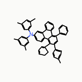 Cc1ccc(-c2cc(-c3ccccc3)c3c4ccccc4c4cc(N(c5cc(C)cc(C)c5)c5cc(C)cc(C)c5)ccc4c3c2C2=CC=CCC2)cc1